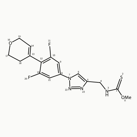 COC(=S)NCc1cn(-c2cc(F)c(C3=CCOCC3)c(F)c2)nn1